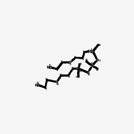 C[SiH](CCCOCCO)O[Si](C)(C)O[Si](C)(C)CCCOCCO